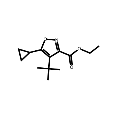 CCOC(=O)c1noc(C2CC2)c1C(C)(C)C